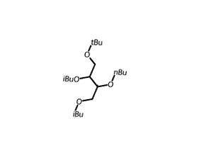 CCCCO[C](COC(C)CC)C(COC(C)(C)C)OCC(C)C